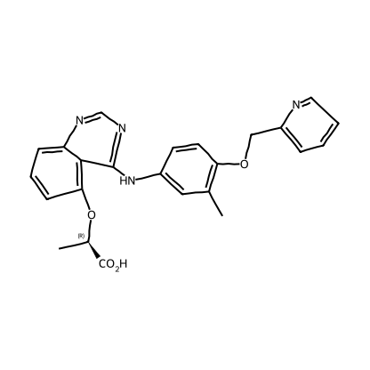 Cc1cc(Nc2ncnc3cccc(O[C@H](C)C(=O)O)c23)ccc1OCc1ccccn1